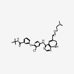 CN(C)CCO/N=C/C1=Cc2c(ncnc2Nc2ccc(Oc3cccc(C(=O)NC(C)(C)C)c3)c(Cl)c2)NCC1